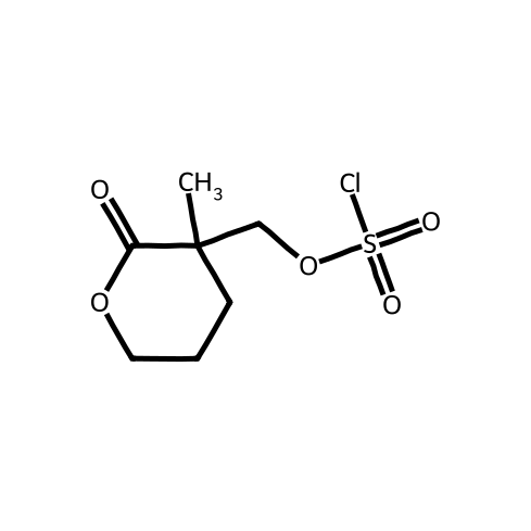 CC1(COS(=O)(=O)Cl)CCCOC1=O